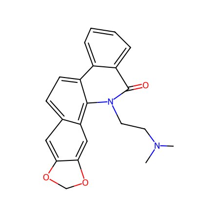 CN(C)CCn1c(=O)c2ccccc2c2ccc3cc4c(cc3c21)OCO4